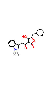 Cn1cc(CC(=O)C2=C(O)C(CC3CCCCC3)OC2=O)c2ccccc21